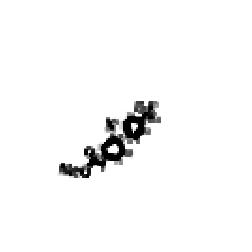 COC(=O)C[C@H]1CC[C@H](c2ccc([B-](F)(F)F)cc2)CC1.[K+]